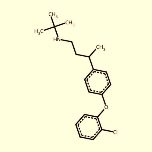 CC(CCNC(C)(C)C)c1ccc(Oc2ccccc2Cl)cc1